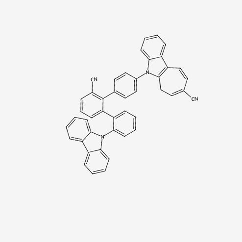 N#CC1=CCc2c(c3ccccc3n2-c2ccc(-c3c(C#N)cccc3-c3ccccc3-n3c4ccccc4c4ccccc43)cc2)C=C1